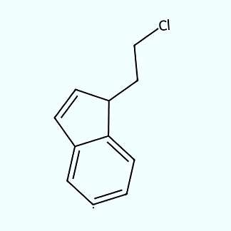 ClCCC1C=Cc2c[c]ccc21